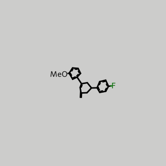 C=C1C=C(c2cccc(OC)c2)CC(c2ccc(F)cc2)C1